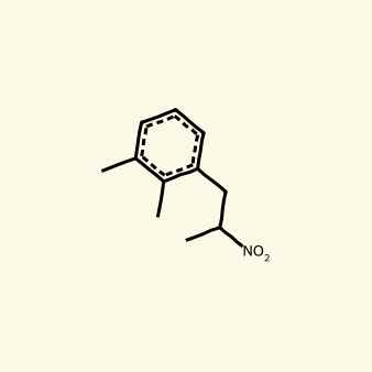 Cc1cccc(CC(C)[N+](=O)[O-])c1C